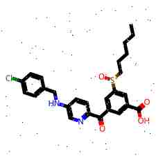 CCCCCC[S+]([O-])c1cc(C(=O)O)cc(C(=O)c2ccc(NCc3ccc(Cl)cc3)cn2)c1